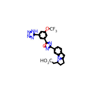 O=C(O)CC1CCc2cc3ccc(-c4noc(-c5cc(OC(F)(F)F)cc(-c6nnn[nH]6)c5)n4)cc3n21